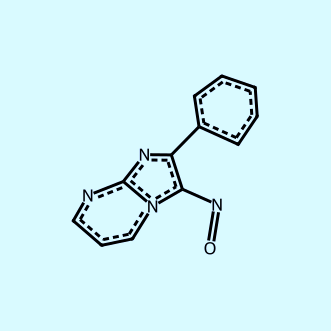 O=Nc1c(-c2ccccc2)nc2ncccn12